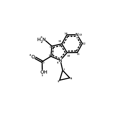 Nc1c(C(=O)O)n(C2CC2)c2ccncc12